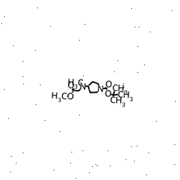 COC(=O)CN(C)C1CCN(C(=O)OC(C)(C)C)CC1